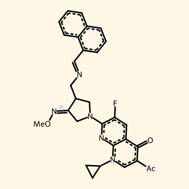 CO/N=C1\CN(c2nc3c(cc2F)c(=O)c(C(C)=O)cn3C2CC2)CC1CN=Cc1cccc2ccccc12